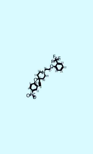 C#CC1(Oc2ccc([N+](=O)[O-])cc2)CCN(CCOc2ccccc2C(F)(F)F)CC1